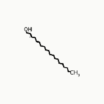 CCCCCCCCCCCCCCCCC[CH]CCO